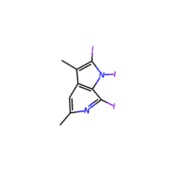 Cc1cc2c(C)c(I)n(I)c2c(I)n1